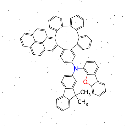 CC1(C)c2ccccc2-c2ccc(N(c3ccc4c(c3)c3ccccc3c3ccccc3c3ccccc3c3c4cc4ccc5cccc6ccc3c4c56)c3cccc4c3oc3ccccc34)cc21